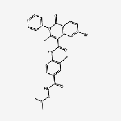 Cc1c(C(=O)Nc2ccc(C(=O)NSN(C)C)cc2F)c2cc(Br)ccc2c(=O)n1-c1ccccc1